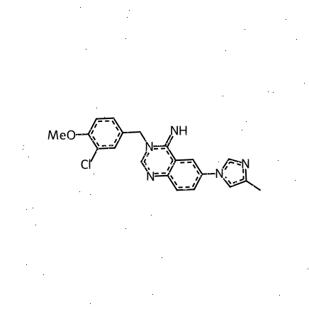 COc1ccc(Cn2cnc3ccc(-n4cnc(C)c4)cc3c2=N)cc1Cl